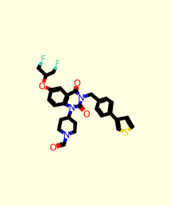 O=CN1CCC(n2c(=O)n(Cc3ccc(-c4ccsc4)cc3)c(=O)c3cc(OC(CF)CF)ccc32)CC1